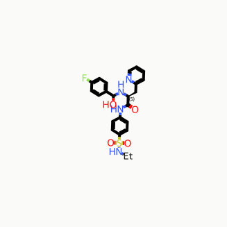 CCNS(=O)(=O)c1ccc(NC(=O)[C@H](Cc2ccccn2)NC(O)c2ccc(F)cc2)cc1